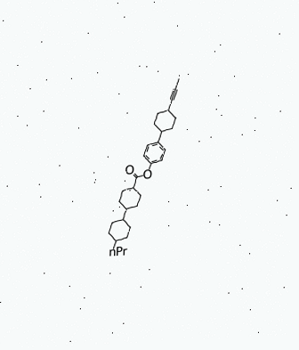 CC#CC1CCC(c2ccc(OC(=O)C3CCC(C4CCC(CCC)CC4)CC3)cc2)CC1